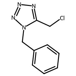 ClCc1nnnn1Cc1ccccc1